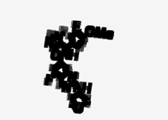 COc1ccc([C@H](NC(=O)c2cc(F)c3cnc(NC4CCOCC4)nc3c2)c2cncn2C)cc1F